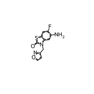 Nc1cc2c(cc1F)sc(=O)n2Cc1ccon1